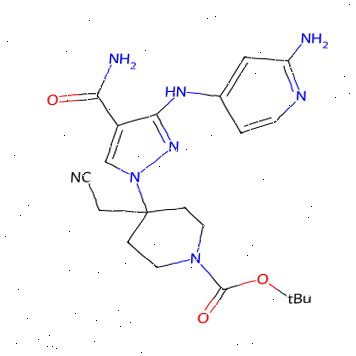 CC(C)(C)OC(=O)N1CCC(CC#N)(n2cc(C(N)=O)c(Nc3ccnc(N)c3)n2)CC1